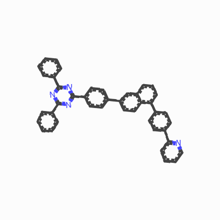 c1ccc(-c2nc(-c3ccccc3)nc(-c3ccc(-c4ccc5c(-c6ccc(-c7ccccn7)cc6)cccc5c4)cc3)n2)cc1